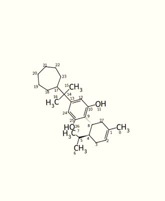 CC1=CC[C@@H](C(C)C)[C@H](c2c(O)cc(C(C)(C)C3CCCCCC3)cc2O)C1